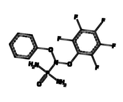 NP(N)(=O)N(Oc1ccccc1)Oc1c(F)c(F)c(F)c(F)c1F